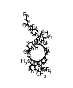 CO[C@@H](C)c1ncccc1-c1c2c3cc(ccc3n1CC(F)(F)F)-c1csc(n1)C[C@H](NC(=O)[C@H](C(C)C)N(C)C(=O)N1CCC3(CC1)CN(C(=O)/C=C/CF)C3)C(=O)N1CCC[C@H](N1)C(=O)OCC(C)(C)C2